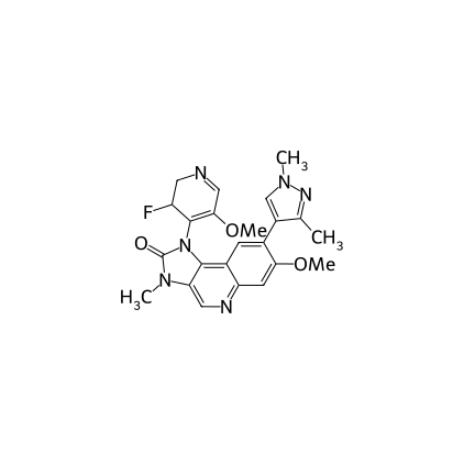 COC1=C(n2c(=O)n(C)c3cnc4cc(OC)c(-c5cn(C)nc5C)cc4c32)C(F)CN=C1